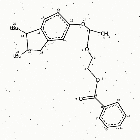 CC(OCCOC(=O)c1ccccc1)Oc1ccc2c(c1)CC(C(C)(C)C)C2C(C)(C)C